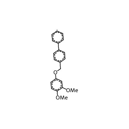 COc1ccc(OCc2ccc(-c3cc[c]cc3)cc2)cc1OC